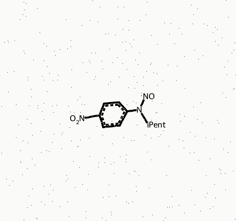 CCCC(C)N(N=O)c1ccc([N+](=O)[O-])cc1